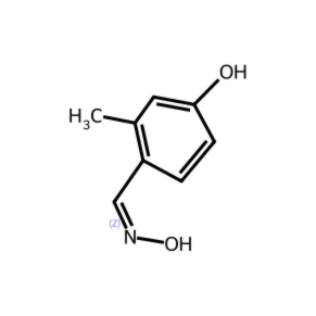 Cc1cc(O)ccc1/C=N\O